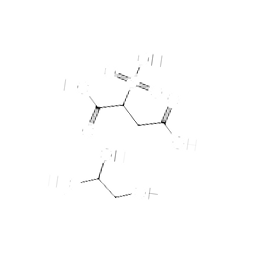 CC(O)CO.O=C(O)CC(C(=O)O)S(=O)(=O)O